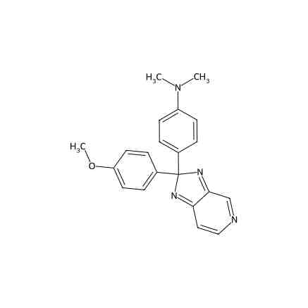 COc1ccc(C2(c3ccc(N(C)C)cc3)N=c3ccncc3=N2)cc1